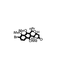 CCC[C@@H]1O[C@@H]2CC(=O)O[C@@H]2c2c1c(OC)c1c(OC)c(Br)ccc1c2OC